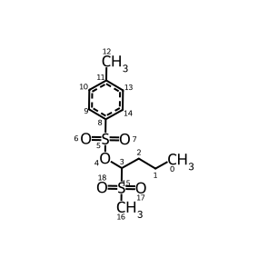 CCCC(OS(=O)(=O)c1ccc(C)cc1)S(C)(=O)=O